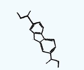 CCC(C)c1ccc2c(c1)[CH]c1cc(C(C)CC)ccc1-2